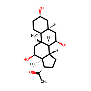 CC(=O)[C@H]1CC[C@H]2[C@@H]3[C@H](O)C[C@@H]4C[C@H](O)CC[C@]4(C)[C@H]3C[C@H](O)[C@]12C